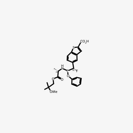 COC(C)(C)COC(=O)[C@H](C)NP(Oc1ccccc1)[C@@H](F)c1ccc2sc(C(=O)O)cc2c1